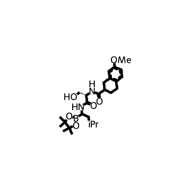 COc1ccc2c(c1)CC(C(=O)N[C@@H](CO)C(=O)NC(CC(C)C)B1OC(C)(C)C(C)(C)O1)CC2